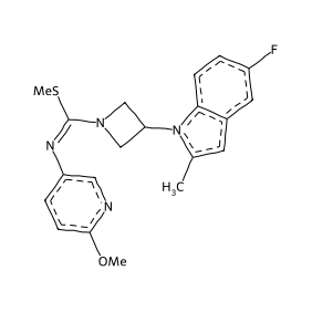 COc1ccc(/N=C(/SC)N2CC(n3c(C)cc4cc(F)ccc43)C2)cn1